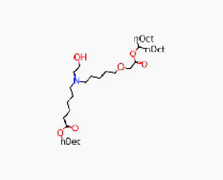 CCCCCCCCCCOC(=O)CCCCCN(CCO)CCCCCOCC(=O)OC(CCCCCCCC)CCCCCCCC